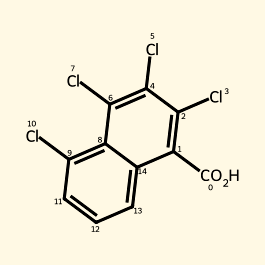 O=C(O)c1c(Cl)c(Cl)c(Cl)c2c(Cl)cccc12